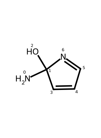 NC1(O)C=CC=N1